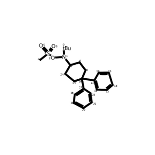 CC(C)(C)N(OS(C)(=O)=O)C1CCC(c2ccccc2)(c2ccccc2)CC1